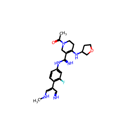 CN/C=C(\C=N)c1ccc(NC(=N)C2=C(NC3CCOC3)CCN(C(C)=O)C2)cc1F